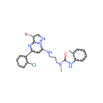 Cc1ccccc1NC(=O)N(C)CCCNc1cc(-c2ccccc2Cl)nc2c(Br)cnn12